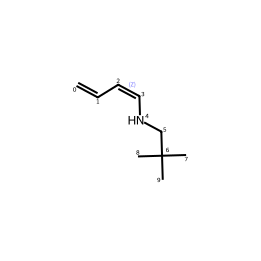 C=C/C=C\NCC(C)(C)C